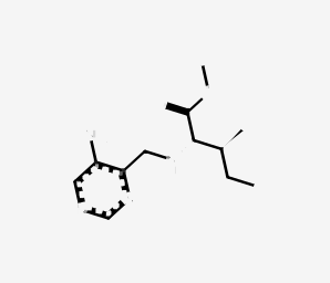 CC[C@H](C)[C@H](NCc1ncncc1N)C(=O)OC